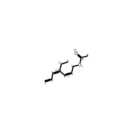 C=C/C=C(\C=C/COC(C)=O)CC